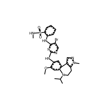 CNS(=O)(=O)c1ccccc1Nc1nc(Nc2cc3c(cc2OC)N(C(C)C)CCc2c-3cnn2C)ncc1Br